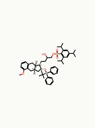 COc1cccc2c1C[C@H]1C[C@@H](O[Si](c3ccccc3)(c3ccccc3)C(C)(C)C)[C@H](CCC(O)COS(=O)(=O)c3c(C(C)C)cc(C(C)C)cc3C(C)C)[C@H]1C2